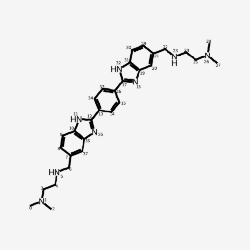 CN(C)CCNCc1ccc2[nH]c(-c3ccc(-c4nc5cc(CNCCN(C)C)ccc5[nH]4)cc3)nc2c1